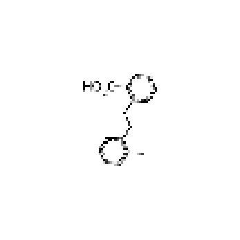 Cc1ccccc1CCc1ccccc1C(=O)O